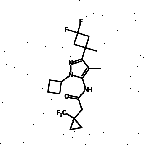 Cc1c(C2(C)CC(F)(F)C2)nn(C2CCC2)c1NC(=O)CC1(C(F)(F)F)CC1